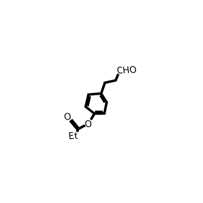 CCC(=O)Oc1ccc(CCC=O)cc1